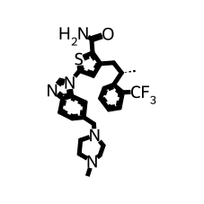 C[C@@H](Cc1cc(-n2cnc3ccc(CN4CCN(C)CC4)cc32)sc1C(N)=O)c1ccccc1C(F)(F)F